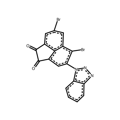 O=C1C(=O)c2cc(-n3nnc4ccccc43)c(Br)c3cc(Br)cc1c23